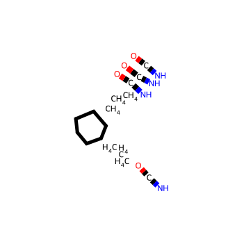 C.C.C.C.C.C.C1CCCCC1.N=C=O.N=C=O.N=C=O.N=C=O